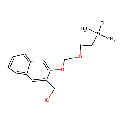 C[Si](C)(C)CCOCOc1cc2ccccc2cc1CO